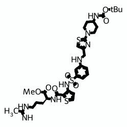 COC(=O)[C@H](CCCNC(C)=N)NC(=O)c1sccc1NS(=O)(=O)c1cccc(NCc2csc(N3CCC(NC(=O)OC(C)(C)C)CC3)n2)c1